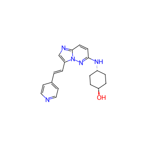 O[C@H]1CC[C@H](Nc2ccc3ncc(/C=C/c4ccncc4)n3n2)CC1